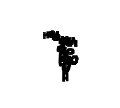 Cc1cc(-c2cc(-c3cccc(C(=O)C(CC4CCNCC4)OC=O)c3)[nH]c(=O)n2)ccc1O